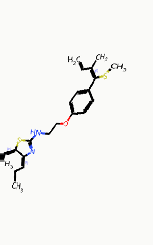 C=C/C(C)=C(/SC)c1ccc(OCCNc2nc(=C/CC)/c(=C\C)s2)cc1